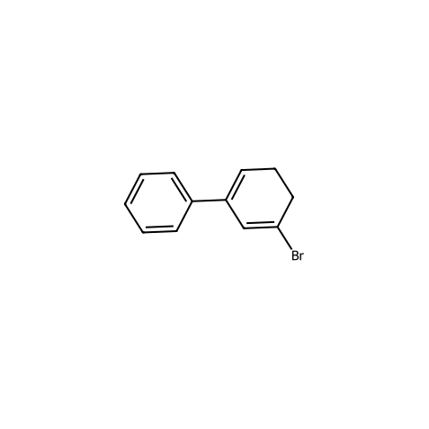 BrC1=CC(c2ccccc2)=CCC1